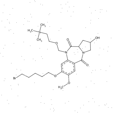 COc1cc2c(cc1OCCCCCBr)N(COCC[Si](C)(C)C)C(=O)C1CC(O)CN1C2=O